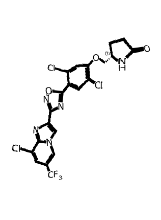 O=C1CC[C@@H](COc2cc(Cl)c(-c3nc(-c4cn5cc(C(F)(F)F)cc(Cl)c5n4)no3)cc2Cl)N1